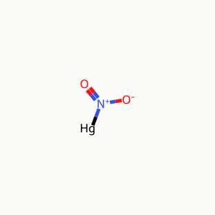 O=[N+]([O-])[Hg]